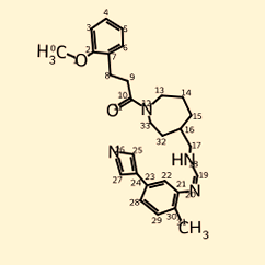 COc1ccccc1CCC(=O)N1CCCC(CN/C=N\c2cc(C3=CN=C3)ccc2C)CC1